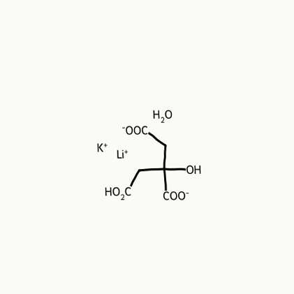 O.O=C([O-])CC(O)(CC(=O)O)C(=O)[O-].[K+].[Li+]